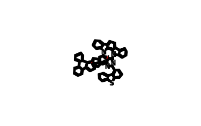 c1ccc(-c2nc(-c3cccc4sc5ccccc5c34)nc(-n3c4ccccc4c4ccc5c6ccccc6n(-c6cccc(-c7ccc8c9ccccc9c9ccccc9c8c7)c6)c5c43)n2)cc1